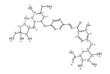 O=C(C=Cc1ccc(OC2OC(CO)C(O)C(O)C2OC2OCC(O)(CO)C2O)cc1)c1ccc(OC2OC(C(=O)O)C(O)C(O)C2O)cc1O